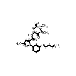 C=CCCOc1cccc(-n2nc(C)cc2C(=O)N[C@@H](CC=C)C(=O)N(C)OC)c1